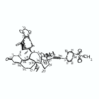 C[C@]12C[C@H](c3ccc4c(c3)OCO4)C3=C4CCC(=O)C=C4CC[C@H]3[C@@H]1CC[C@@]2(O)C#Cc1ccc(S(C)(=O)=O)cc1